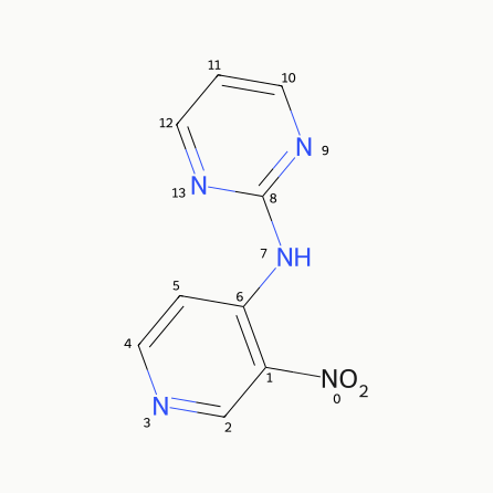 O=[N+]([O-])c1cnccc1Nc1ncccn1